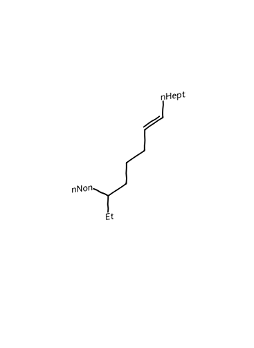 [CH2]CCCCCCC=CCCCC(CC)CCCCCCCC[CH2]